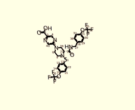 O=C(O)c1cnc(N2CCN(Sc3ccc(OC(F)(F)F)cc3)[C@@H](C(=O)NCc3ccc(OC(F)(F)F)cc3)C2)cn1